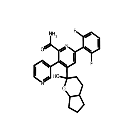 NC(=O)c1nc(-c2c(F)cccc2F)cc(C2(O)CCC3CCCC3O2)c1-c1cccnc1